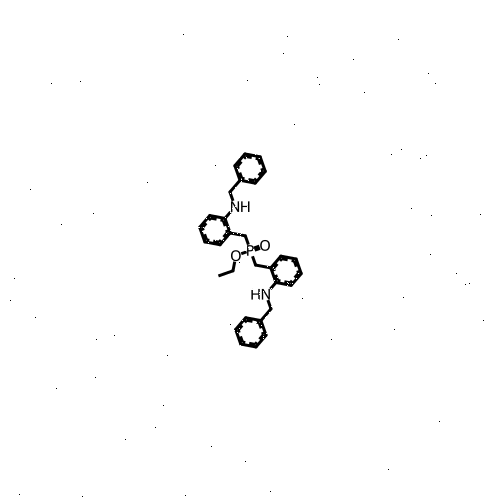 CCOP(=O)(Cc1ccccc1NCc1ccccc1)Cc1ccccc1NCc1ccccc1